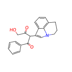 O=C(CO)C(C(=O)c1ccccc1)c1cn2c3c(cccc13)CCC2